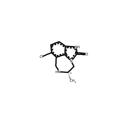 C[C@H]1Cn2c(=O)[nH]c3ccc(Cl)c(c32)CN1